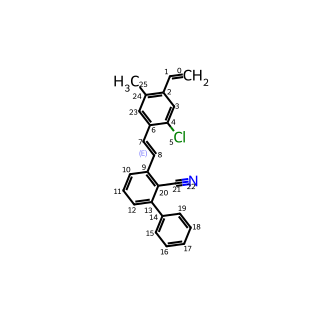 C=Cc1cc(Cl)c(/C=C/c2cccc(-c3ccccc3)c2C#N)cc1C